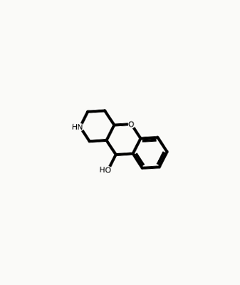 OC1c2ccccc2OC2CCNCC21